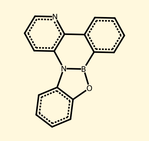 c1ccc2c(c1)OB1c3ccccc3-c3ncccc3N12